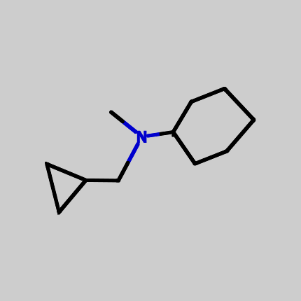 CN(CC1CC1)[C]1CCCCC1